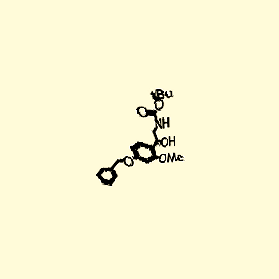 COc1cc(OCc2ccccc2)ccc1[C@H](O)CNC(=O)OC(C)(C)C